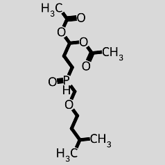 CC(=O)OC(CC[PH](=O)COCCC(C)C)OC(C)=O